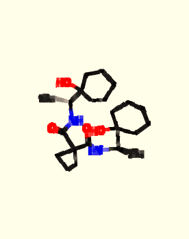 CC(C)(C)[C@@H](NC(=O)C1(C(=O)N[C@H](C(C)(C)C)C2(O)CCCCC2)CCC1)C1(O)CCCCC1